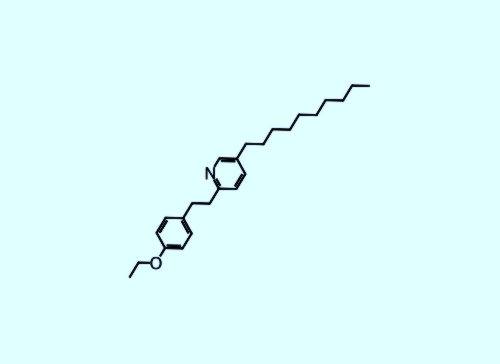 CCCCCCCCCCc1ccc(CCc2ccc(OCC)cc2)nc1